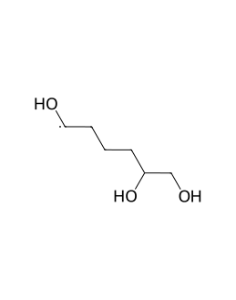 O[CH]CCCC(O)CO